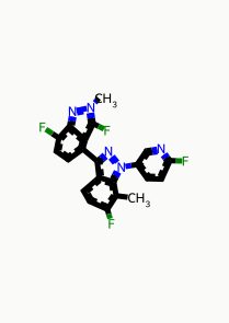 Cc1c(F)ccc2c(-c3ccc(F)c4nn(C)c(F)c34)nn(-c3ccc(F)nc3)c12